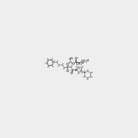 CC(C)C(OC(=O)CC(=O)O)OP(=O)(CCCCc1ccccc1)CC(=O)N1C[C@H](C2CCCCC2)C[C@H]1C(=O)O